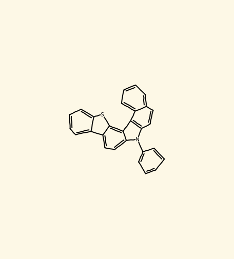 c1ccc(-n2c3ccc4ccccc4c3c3c4sc5ccccc5c4ccc32)cc1